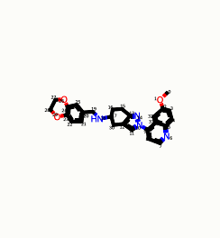 COc1ccc2nccc(-n3cc4c(n3)CCC(NCc3ccc5c(c3)OCCO5)C4)c2c1